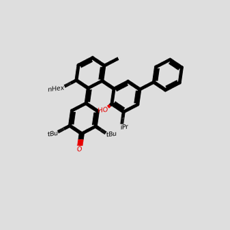 CCCCCCC1C=CC(C)=C(c2cc(-c3ccccc3)cc(C(C)C)c2O)C1=C1C=C(C(C)(C)C)C(=O)C(C(C)(C)C)=C1